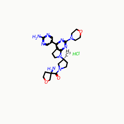 C[C@]1(N2CCc3c(-c4cnc(N)nc4)nc(N4CCOCC4)nc32)CCN(C(=O)C2(N)CCOC2)C1.Cl